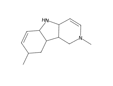 CC1C=CC2NC3C=CN(C)CC3C2C1